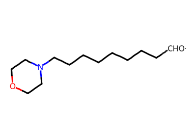 O=[C]CCCCCCCCN1CCOCC1